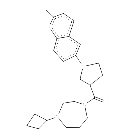 Cc1ccc2cc(N3CCC(C(=O)N4CCCN(C5CCC5)CC4)C3)ccc2n1